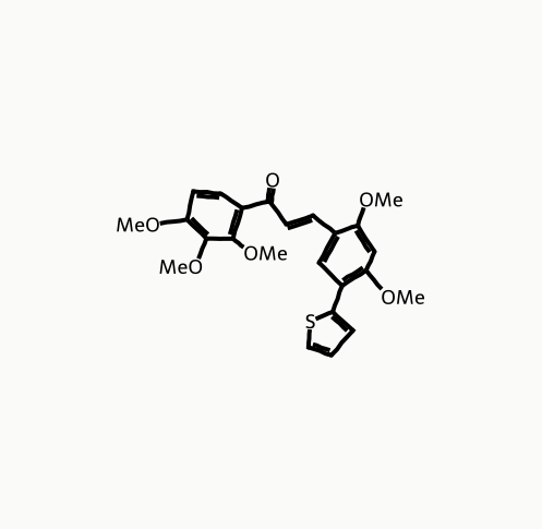 COc1cc(OC)c(-c2cccs2)cc1C=CC(=O)c1ccc(OC)c(OC)c1OC